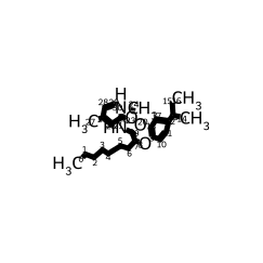 CCCCCCCC(Oc1ccc(C(C)CC)cc1)C(=O)NC1(OC)C=C(C)C=CN1